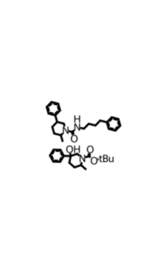 CC1CCC(O)(c2ccccc2)CN1C(=O)OC(C)(C)C.CC1CCC(c2ccccc2)CN1C(=O)NCCCCc1ccccc1